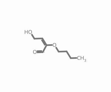 CCCCOC([C]=O)=CCO